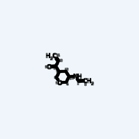 C=CNC1COCC(C(=O)C=C)C1